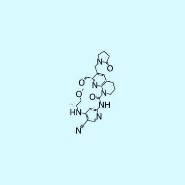 COC[C@@H](C)Nc1cc(NC(=O)N2CCCc3cc(CN4CCCC4=O)c(C=O)nc32)ncc1C#N